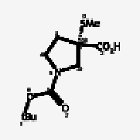 CS[C@@]1(C(=O)O)CCN(C(=O)OC(C)(C)C)C1